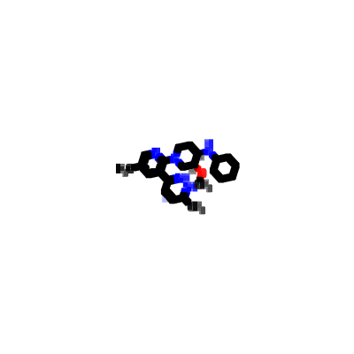 CO[C@H]1CN(c2ncc(C)cc2C(=N)/C=C\C(C)=N)CC[C@H]1NC1CCCCC1